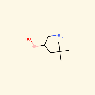 CC(C)(C)CC(BO)CN